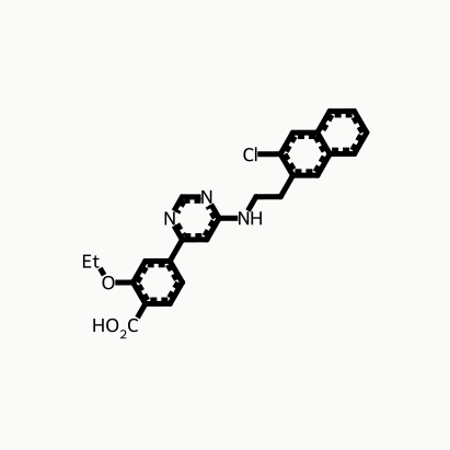 CCOc1cc(-c2cc(NCCc3cc4ccccc4cc3Cl)ncn2)ccc1C(=O)O